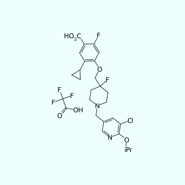 CC(C)Oc1ncc(CN2CCC(F)(COc3cc(F)c(C(=O)O)cc3C3CC3)CC2)cc1Cl.O=C(O)C(F)(F)F